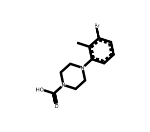 Cc1c(Br)cccc1N1CCN(C(=O)O)CC1